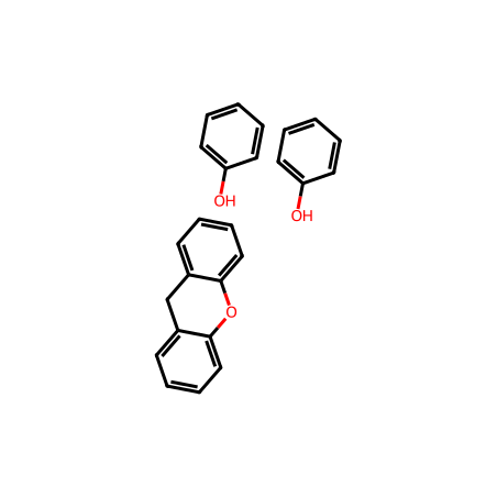 Oc1ccccc1.Oc1ccccc1.c1ccc2c(c1)Cc1ccccc1O2